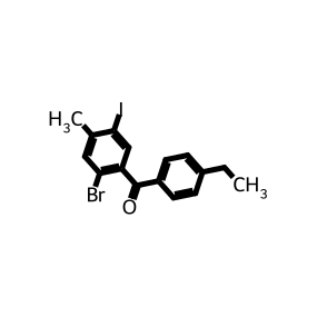 CCc1ccc(C(=O)c2cc(I)c(C)cc2Br)cc1